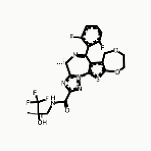 C[C@@H]1N=C(c2c(F)cccc2F)c2c(sc3c2COCCO3)-n2nc(C(=O)NC[C@](C)(O)C(F)(F)F)nc21